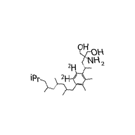 [2H]c1c([2H])c(C(C)CC(N)(CO)CO)c(C)c(C)c1CC(C)CC(C)CC(C)CC(C)C